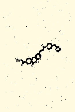 O=C(/C=C/c1cnc2c(c1)CC1(CCN(C(=O)CNCl)CC1)C(=O)N2)N1CC=C(Cc2nccs2)CC1